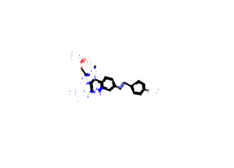 CCOCc1nc2c(N)nc3cc(/C=C/c4ccc(C(F)(F)F)cc4)ccc3c2n1CC(C)C